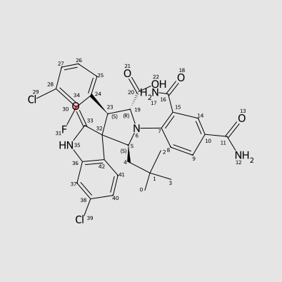 CC(C)(C)C[C@@H]1N(c2ccc(C(N)=O)cc2C(N)=O)[C@@H](C(=O)O)[C@H](c2cccc(Cl)c2F)C12C(=O)Nc1cc(Cl)ccc12